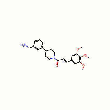 COc1cc(/C=C/C(=O)N2CCC(c3cccc(CN)c3)CC2)cc(OC)c1OC